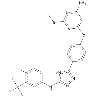 CSc1nc(N)cc(Oc2ccc(-c3nnc(Nc4ccc(F)c(C(F)(F)F)c4)[nH]3)cc2)n1